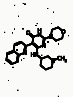 CN1CCCC(Nc2nc(N3CCOCC3)[nH]c(=O)c2-c2ccc3ccccc3n2)C1